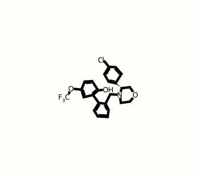 Oc1ccc(OC(F)(F)F)cc1-c1ccccc1CN1CCOC[C@H]1c1ccc(Cl)cc1